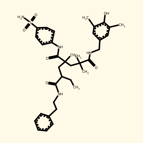 CCC(CC(C)(CC(C)(C)C(=O)NCc1cc(C)c(O)c(C)c1)C(=O)Nc1ccc(S(N)(=O)=O)cc1)C(=O)NCCc1ccccc1